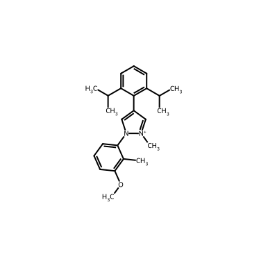 COc1cccc(-n2cc(-c3c(C(C)C)cccc3C(C)C)c[n+]2C)c1C